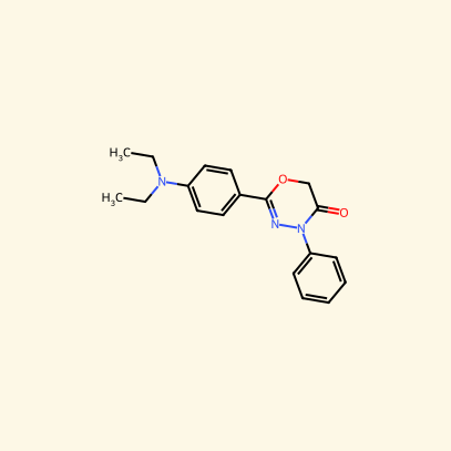 CCN(CC)c1ccc(C2=NN(c3ccccc3)C(=O)CO2)cc1